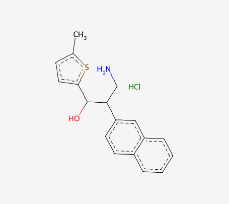 Cc1ccc(C(O)C(CN)c2ccc3ccccc3c2)s1.Cl